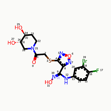 O=C(CSc1nonc1/C(=N/O)Nc1ccc(F)c(Br)c1)N1CC[C@H](O)[C@@H](O)C1